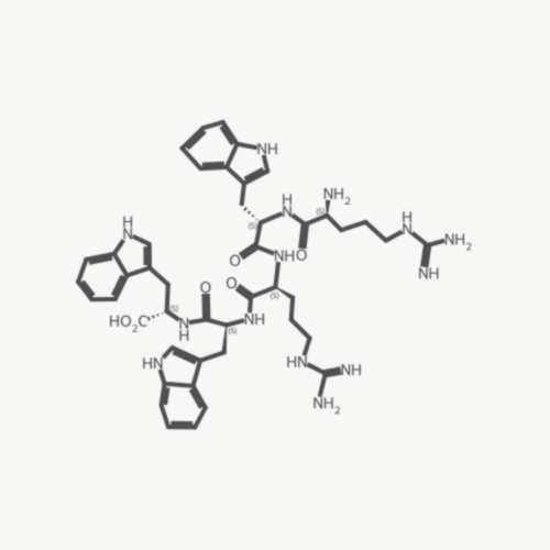 N=C(N)NCCC[C@H](NC(=O)[C@H](Cc1c[nH]c2ccccc12)NC(=O)[C@@H](N)CCCNC(=N)N)C(=O)N[C@@H](Cc1c[nH]c2ccccc12)C(=O)N[C@@H](Cc1c[nH]c2ccccc12)C(=O)O